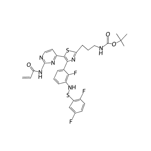 C=CC(=O)Nc1nccc(-c2sc(CCCNC(=O)OC(C)(C)C)nc2-c2cccc(NSc3cc(F)ccc3F)c2F)n1